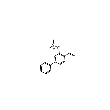 C=Cc1ccc(-c2ccccc2)cc1O[SiH](C)C